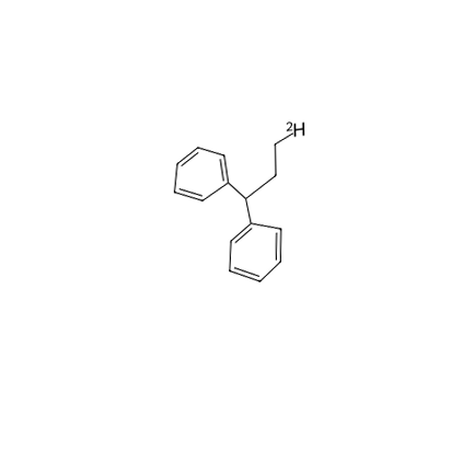 [2H]CCC(c1ccccc1)c1ccccc1